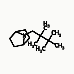 CC(C)(C)C(C)(C)CN1C2CCC1CC2